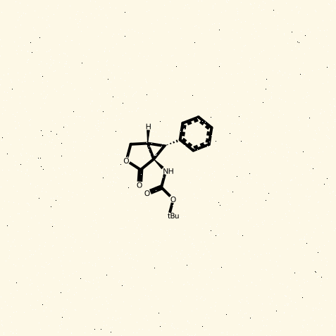 CC(C)(C)OC(=O)N[C@@]12C(=O)OC[C@@H]1[C@@H]2c1ccccc1